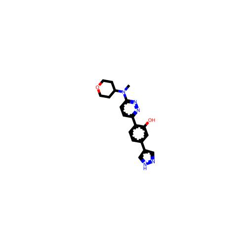 CN(c1ccc(-c2ccc(-c3cn[nH]c3)cc2O)nn1)C1CCOCC1